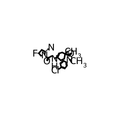 CN(C(=O)C1(C)CC=C(NCC(=O)N2C[C@@H](F)C[C@H]2C#N)CC1)c1ccc(Cl)cc1